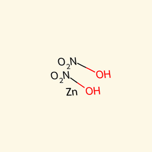 O=[N+]([O-])O.O=[N+]([O-])O.[Zn]